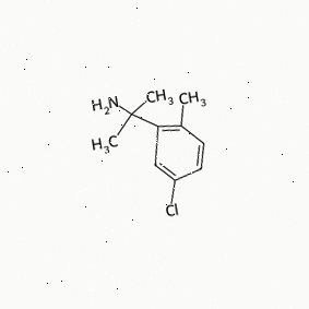 Cc1ccc(Cl)cc1C(C)(C)N